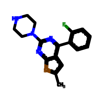 Cc1cc2c(-c3ccccc3F)nc(N3CCNCC3)nc2s1